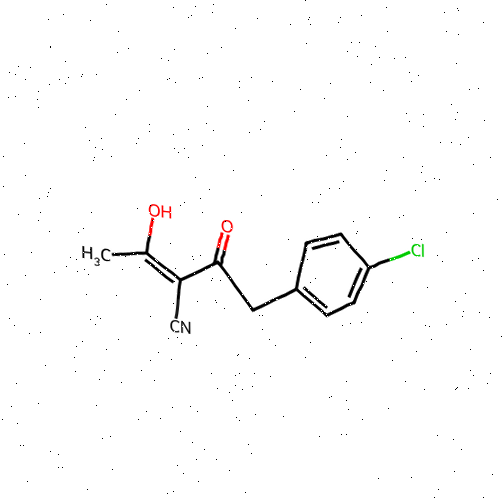 C/C(O)=C(\C#N)C(=O)Cc1ccc(Cl)cc1